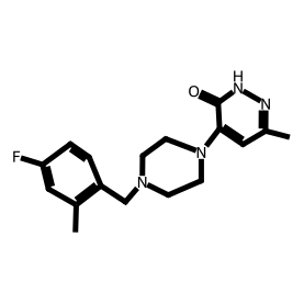 Cc1cc(N2CCN(Cc3ccc(F)cc3C)CC2)c(=O)[nH]n1